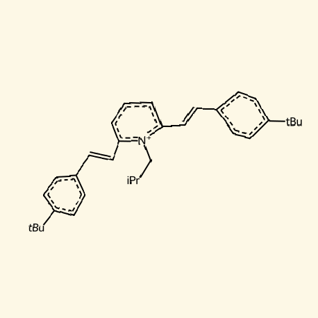 CC(C)C[n+]1c(/C=C/c2ccc(C(C)(C)C)cc2)cccc1/C=C/c1ccc(C(C)(C)C)cc1